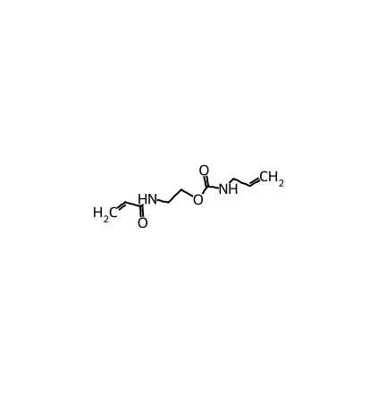 C=CCNC(=O)OCCNC(=O)C=C